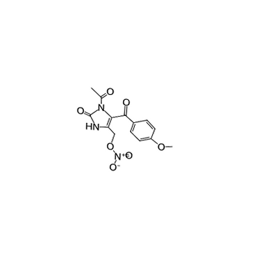 COc1ccc(C(=O)c2c(CO[N+](=O)[O-])[nH]c(=O)n2C(C)=O)cc1